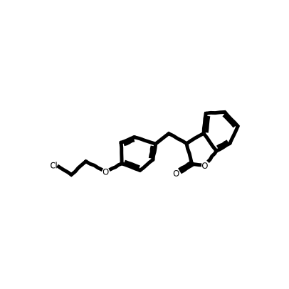 O=C1Oc2ccccc2C1Cc1ccc(OCCCl)cc1